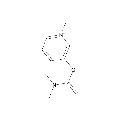 C=C(Oc1ccc[n+](C)c1)N(C)C